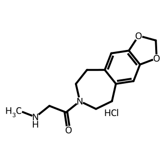 CNCC(=O)N1CCc2cc3c(cc2CC1)OCO3.Cl